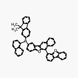 CC1(C)c2ccccc2-c2ccc(N(c3ccc4oc5c(-c6cccc7c6oc6ccccc67)c6ccccc6cc5c4c3)c3cccc4ccccc34)cc21